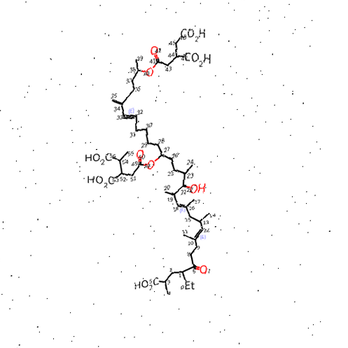 CCC(CC(C)C(=O)O)C(=O)CC/C(C)=C/C(C)C/C(C)=C/C(C)C(O)C(C)CCC(CCCC/C=C/C(C)CCC(C)OC(=O)CC(CC(=O)O)C(=O)O)OC(=O)CC(C(=O)O)C(C)C(=O)O